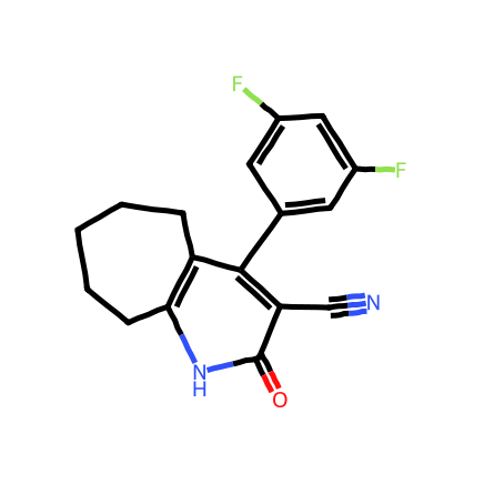 N#Cc1c(-c2cc(F)cc(F)c2)c2c([nH]c1=O)CCCCC2